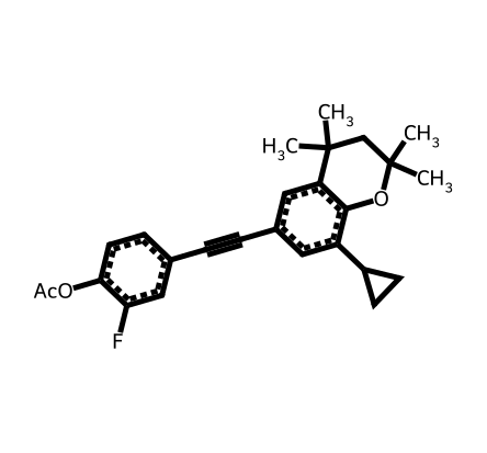 CC(=O)Oc1ccc(C#Cc2cc(C3CC3)c3c(c2)C(C)(C)CC(C)(C)O3)cc1F